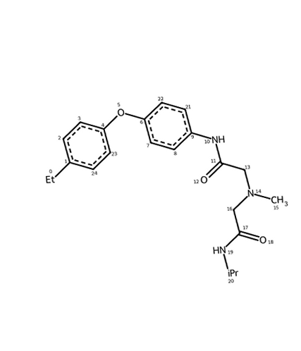 CCc1ccc(Oc2ccc(NC(=O)CN(C)CC(=O)NC(C)C)cc2)cc1